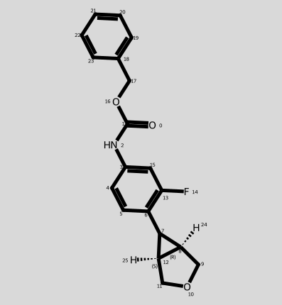 O=C(Nc1ccc(C2[C@H]3COC[C@@H]23)c(F)c1)OCc1ccccc1